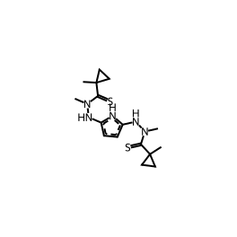 CN(Nc1ccc(NN(C)C(=S)C2(C)CC2)[nH]1)C(=S)C1(C)CC1